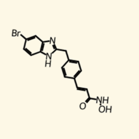 O=C(/C=C/c1ccc(Cc2nc3cc(Br)ccc3[nH]2)cc1)NO